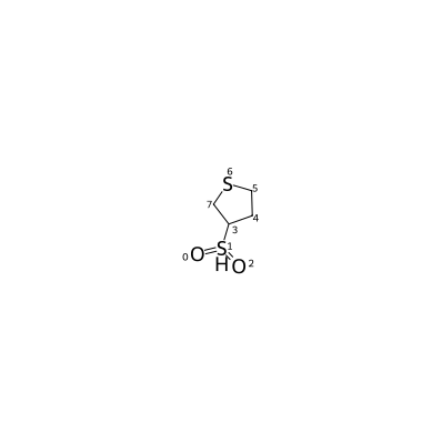 O=[SH](=O)C1CCSC1